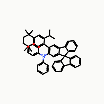 CC(C)c1cc2c(cc1-c1cc3c(cc1N(c1ccccc1)c1ccccc1)C1(c4ccccc4-c4ccccc41)c1ccccc1-3)C(C)(C)CCC2(C)C